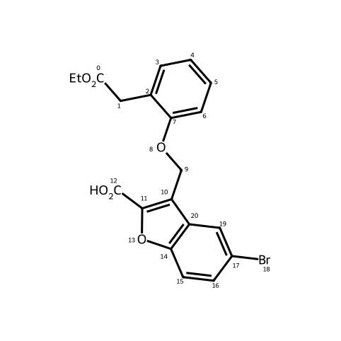 CCOC(=O)Cc1ccccc1OCc1c(C(=O)O)oc2ccc(Br)cc12